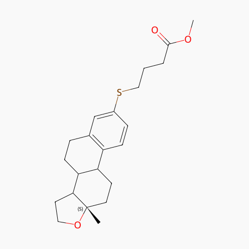 COC(=O)CCCSc1ccc2c(c1)CCC1C2CC[C@]2(C)OCCC12